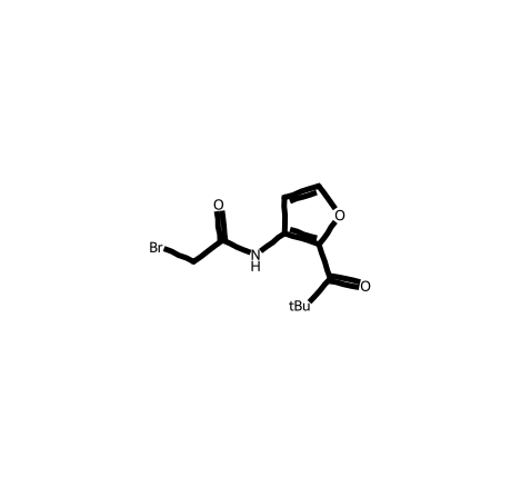 CC(C)(C)C(=O)c1occc1NC(=O)CBr